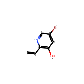 C=Cc1ncc(Br)cc1O